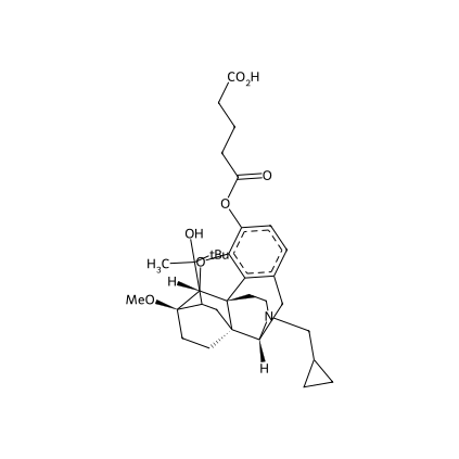 CO[C@]12CC[C@@]3(CC1C(C)(O)C(C)(C)C)[C@H]1Cc4ccc(OC(=O)CCCC(=O)O)c5c4[C@@]3(CCN1CC1CC1)[C@H]2O5